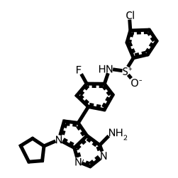 Nc1ncnc2c1c(-c1ccc(N[S+]([O-])c3cccc(Cl)c3)c(F)c1)cn2C1CCCC1